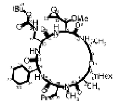 CCCCCC[C@H]1OC[C@@H](C)NC(=O)[C@H](C(OC)C2CO2)NC(=O)[C@H](CNC(=O)OC(C)(C)C)NC(=O)[C@H](C2CCCCC2)NC(=O)[C@H](CC(C)C)N(C)C(=O)[C@@H]1C